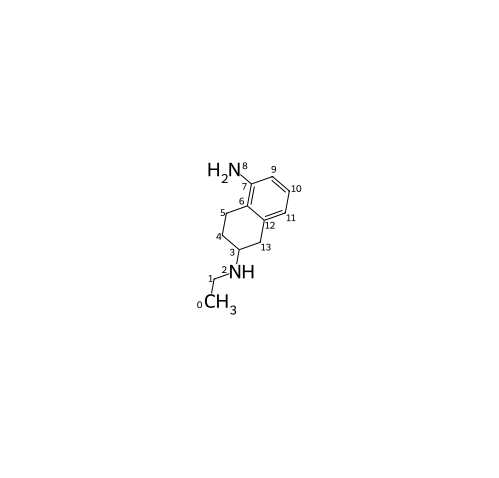 CCNC1CCc2c(N)cccc2C1